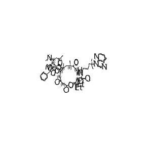 CC[C@H]1OC(=O)[C@H](C)C(=O)[C@H](C)[C@@H](OC2O[C@H](C)C[C@H](N(C)C)[C@H]2OC(=O)c2ccccc2)[C@@](C)(OC)C[C@@H](C)C(=O)[C@H](C)[C@H]2N(CCCC(C)(C)n3cnc4cccnc43)C(=O)O[C@]12CC